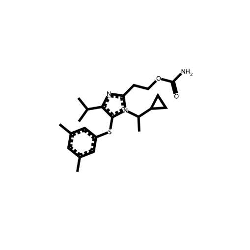 Cc1cc(C)cc(Sc2c(C(C)C)nc(CCOC(N)=O)n2C(C)C2CC2)c1